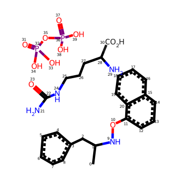 CC(Cc1ccccc1)NOc1cccc2ccccc12.NC(=O)NCCCC(N)C(=O)O.O=P(O)(O)OP(=O)(O)O